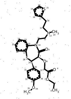 CCOC(=O)CO[C@@H]1C(=O)N(CCN(C)CCc2cccs2)c2ccccc2S[C@@H]1c1ccc(OC)cc1